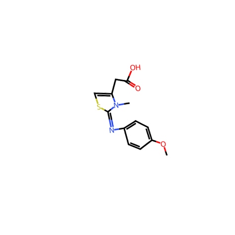 COc1ccc(N=c2scc(CC(=O)O)n2C)cc1